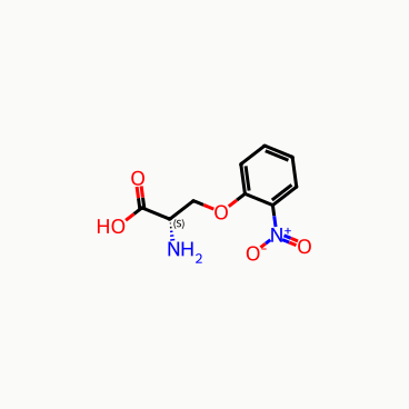 N[C@@H](COc1ccccc1[N+](=O)[O-])C(=O)O